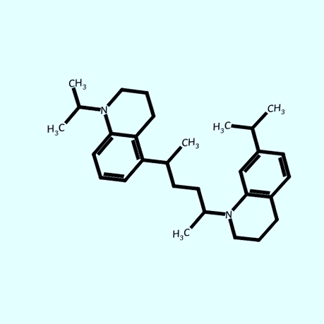 CC(C)c1ccc2c(c1)N(C(C)CCC(C)c1cccc3c1CCCN3C(C)C)CCC2